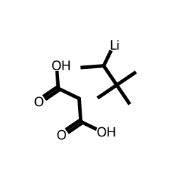 O=C(O)CC(=O)O.[Li][CH](C)C(C)(C)C